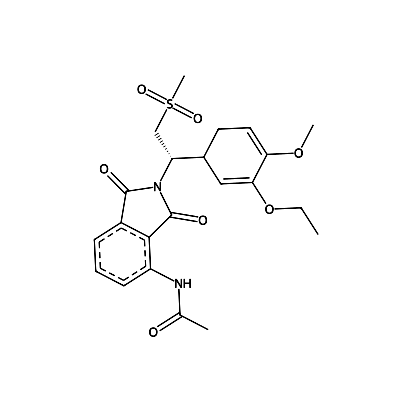 CCOC1=CC([C@@H](CS(C)(=O)=O)N2C(=O)c3cccc(NC(C)=O)c3C2=O)CC=C1OC